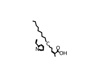 C=Cc1ccccn1.CCCCCCCCCCCCC=C(C)C(=O)O